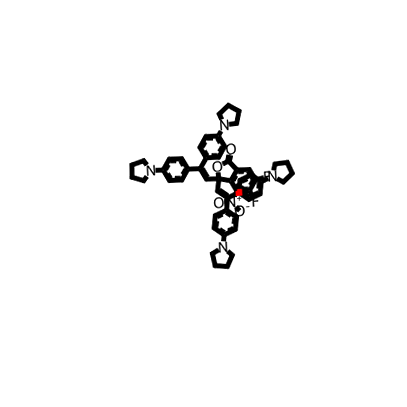 O=C1OC(C=C(c2ccc(N3CCCC3)cc2)c2ccc(N3CCCC3)cc2)(C=C(c2ccc(N3CCCC3)cc2)c2ccc(N3CCCC3)cc2)c2c1cc(F)c(F)c2[N+](=O)[O-]